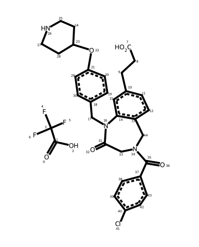 O=C(O)C(F)(F)F.O=C(O)CCc1ccc2c(c1)N(Cc1ccc(OC3CCNCC3)cc1)C(=O)CN(C(=O)c1ccc(Cl)cc1)C2